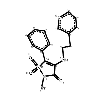 CC(C)N1C(=O)C(NCCc2cccnc2)=C(c2ccccc2)S1(=O)=O